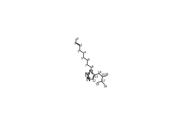 C/C=C/CCCCCCn1nncc1CC(C)C(C)C